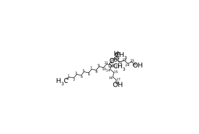 CCCCCCCCCCCC[Si](C)(CCCCO)O[SiH](C)CCCCO